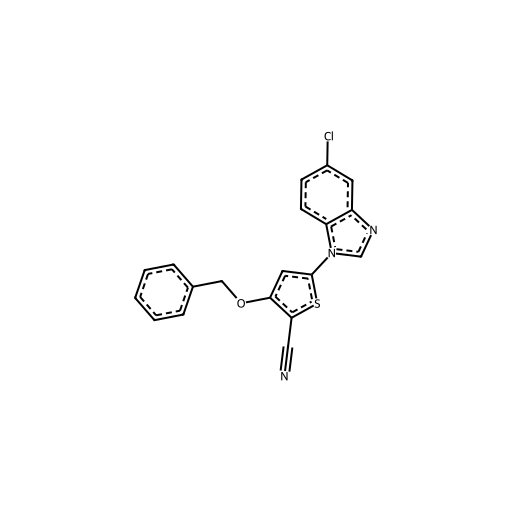 N#Cc1sc(-n2cnc3cc(Cl)ccc32)cc1OCc1ccccc1